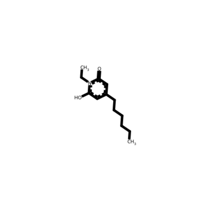 CCCCCCc1cc(O)n(CC)c(=O)c1